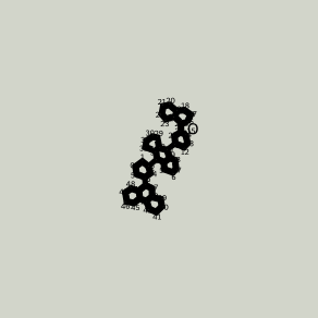 c1cc(-c2c3ccccc3c(-c3ccc4oc5ccc6ccccc6c5c4c3)c3ccccc23)cc(-c2cc3ccccc3c3ccccc23)c1